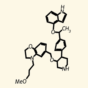 COCCCN1CCOc2ccc(COC3CNCCC3c3ccc(C(C)Oc4cccc5[nH]ccc45)cc3)cc21